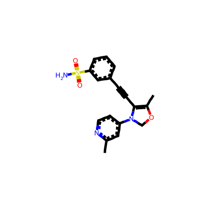 CC1=C(C#Cc2cccc(S(N)(=O)=O)c2)N(c2ccnc(C)c2)CO1